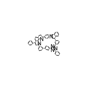 c1ccc(-c2ccc3ccc4c(-c5ccccc5)cc(-c5cccc(-c6ccc(-c7nc(-c8ccccc8)nc(-c8cccc(-c9cncc%10ccccc9%10)c8)n7)cc6)c5)nc4c3n2)cc1